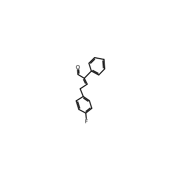 O=CC(=CCc1ccc(F)cc1)c1ccccc1